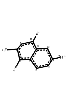 [2H]c1ccc2c(F)c(F)cc(F)c2c1